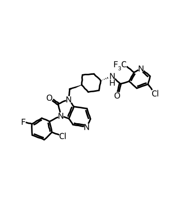 O=C(N[C@H]1CC[C@H](Cn2c(=O)n(-c3cc(F)ccc3Cl)c3cnccc32)CC1)c1cc(Cl)cnc1C(F)(F)F